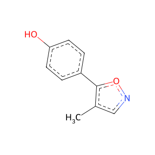 Cc1cnoc1-c1ccc(O)cc1